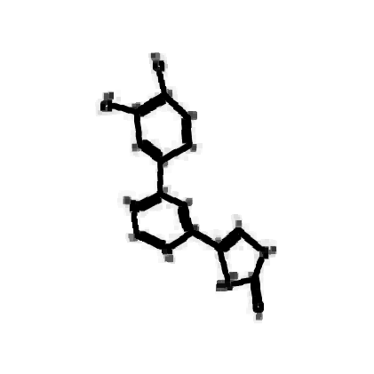 O=C1[N]C=C(c2cc(-c3ccc(Cl)c(Cl)c3)ncn2)N1